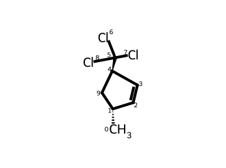 C[C@H]1C=C[C@H](C(Cl)(Cl)Cl)C1